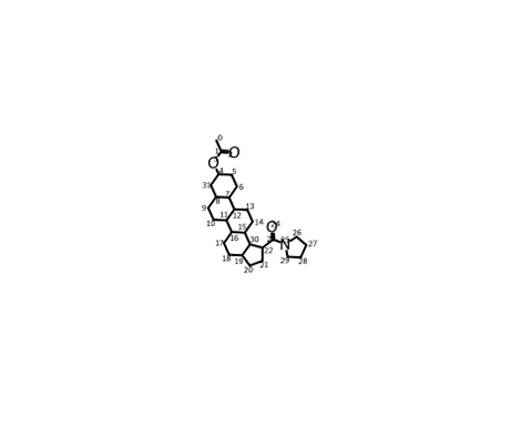 CC(=O)OC1CCC2C(CCC3C2CCC2C3CCC3CCC(C(=O)N4CCCC4)C32)C1